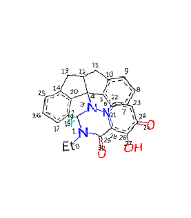 CCN1CN(C23c4ccccc4CC2Cc2cccc(F)c23)n2ccc(=O)c(O)c2C1=O